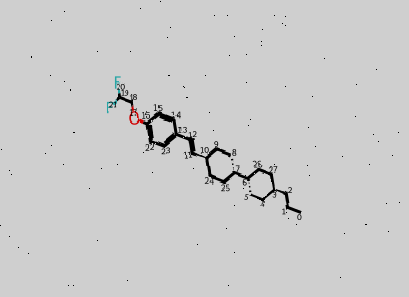 CCC[C@H]1CC[C@H]([C@H]2CC[C@H](C=Cc3ccc(OCC(F)F)cc3)CC2)CC1